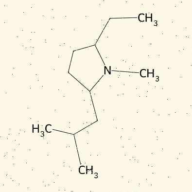 CCC1CCC(CC(C)C)N1C